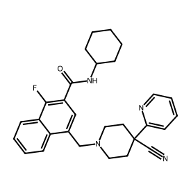 N#CC1(c2ccccn2)CCN(Cc2cc(C(=O)NC3CCCCC3)c(F)c3ccccc23)CC1